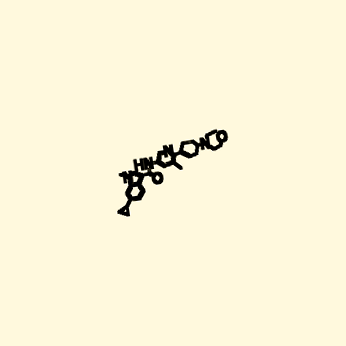 Cc1cc(NC(=O)c2cn(C)c3cc(C4CC4)ccc23)cnc1C1=CCC(N2CCOCC2)CC1